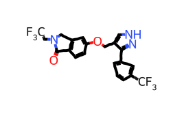 O=C1c2ccc(OCc3c[nH]nc3-c3cccc(C(F)(F)F)c3)cc2CN1CC(F)(F)F